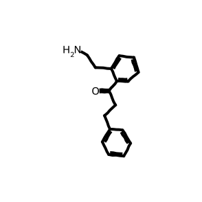 NCCc1ccccc1C(=O)CCc1ccccc1